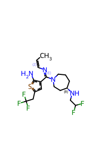 C/C=C\N=C(/c1cc(CC(F)(F)F)sc1N)N1CCC[C@@H](NCC(F)F)CC1